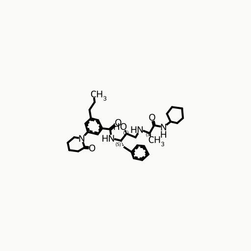 CCCc1cc(C(=O)N[C@@H](Cc2ccccc2)[C@@H](O)CN[C@@H](C)C(=O)NC2CCCCC2)cc(N2CCCCC2=O)c1